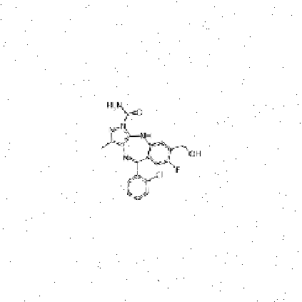 Cc1nn(C(N)=O)c2c1N=C(c1ccccc1Cl)c1cc(F)c(CO)cc1N2